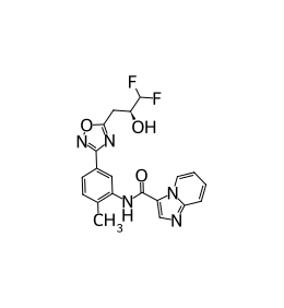 Cc1ccc(-c2noc(C[C@H](O)C(F)F)n2)cc1NC(=O)c1cnc2ccccn12